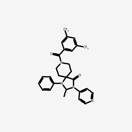 CC1N(c2ccncc2)C(=O)C2(CCN(C(=O)c3cc(C(F)(F)F)cc(C(F)(F)F)c3)CC2)N1c1ccccc1